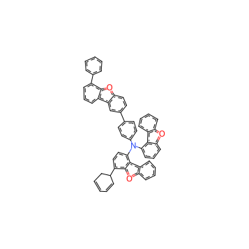 C1=CCC(c2ccc(N(c3ccc(-c4ccc5oc6c(-c7ccccc7)cccc6c5c4)cc3)c3cccc4oc5ccccc5c34)c3c2oc2ccccc23)C=C1